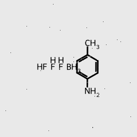 B.Cc1ccc(N)cc1.F.F.F